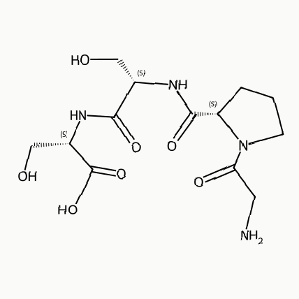 NCC(=O)N1CCC[C@H]1C(=O)N[C@@H](CO)C(=O)N[C@@H](CO)C(=O)O